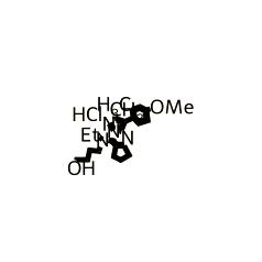 CCN(CCCCO)c1c2c(nc3c(-c4ccc(OC)cc4C)c(C)nn13)CCC2.Cl